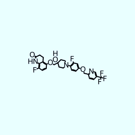 O=C1CCc2c(OCC3(O)CCN(c4ccc(OCc5ccc(C(F)(F)F)cn5)cc4F)CC3)ccc(F)c2N1